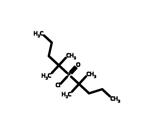 CCCC(C)(C)P(=O)(Cl)C(C)(C)CCC